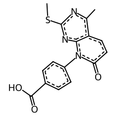 CSc1nc(C)c2ccc(=O)n(-c3ccc(C(=O)O)cc3)c2n1